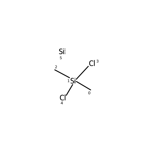 C[Si](C)(Cl)Cl.[Si]